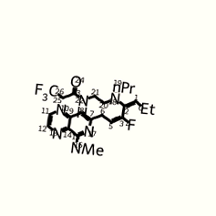 CC/C=C(\C(F)=C/Cc1cc2nccnc2c(NC)n1)N(CCC)CCNC(=O)CC(F)(F)F